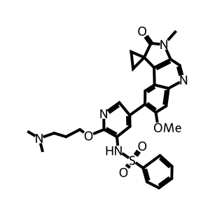 COc1cc2ncc3c(c2cc1-c1cnc(OCCCN(C)C)c(NS(=O)(=O)c2ccccc2)c1)C1(CC1)C(=O)N3C